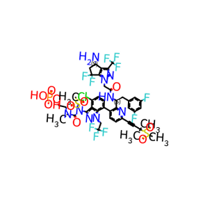 CN(CCOP(=O)(O)O)C(=O)N(c1nn(CC(F)(F)F)c2c(-c3ccc(C#CC(C)(C)S(C)(=O)=O)nc3[C@H](Cc3cc(F)cc(F)c3)NC(=O)Cn3nc(C(F)(F)F)c4c3C(F)(F)C[C@@H]4N)ccc(Cl)c12)S(C)(=O)=O